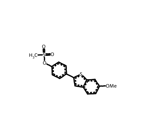 COc1ccc2cc(-c3ccc(OS(C)(=O)=O)cc3)sc2c1